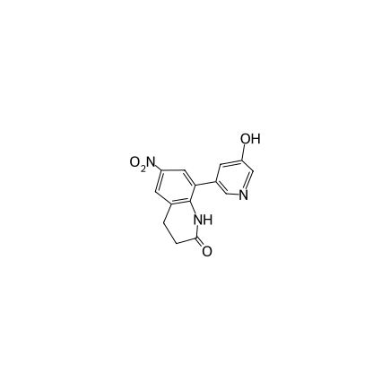 O=C1CCc2cc([N+](=O)[O-])cc(-c3cncc(O)c3)c2N1